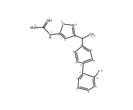 CNC(=N)Nc1cc(C(C)c2ccc(-c3ccccc3F)cc2)no1